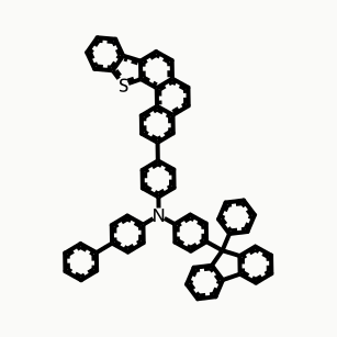 c1ccc(-c2ccc(N(c3ccc(-c4ccc5c(ccc6ccc7c8ccccc8sc7c65)c4)cc3)c3ccc(C4(c5ccccc5)c5ccccc5-c5ccccc54)cc3)cc2)cc1